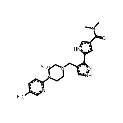 C[C@@H]1CN(Cc2c[nH]nc2-c2cc(C(=O)N(C)C)c[nH]2)CCN1c1ccc(C(F)(F)F)cn1